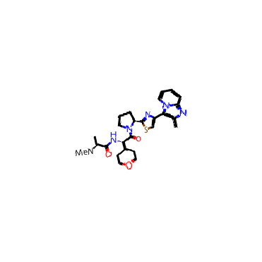 CN[C@@H](C)C(=O)N[C@H](C(=O)N1CCC[C@H]1c1nc(-c2c(C)nc3ccccn23)cs1)C1CCOCC1